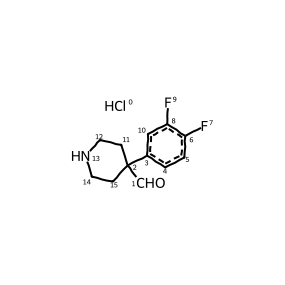 Cl.O=CC1(c2ccc(F)c(F)c2)CCNCC1